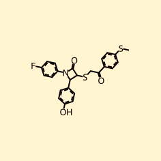 CSc1ccc(C(=O)CSC2C(=O)N(c3ccc(F)cc3)C2c2ccc(O)cc2)cc1